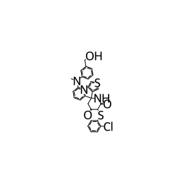 CN(c1cccc(CO)c1)c1cccc(C2(c3ccsc3)CC(=O)C(Sc3ccccc3Cl)C(=O)N2)n1